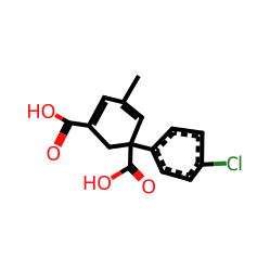 CC1=CC(C(=O)O)(c2ccc(Cl)cc2)CC(C(=O)O)=C1